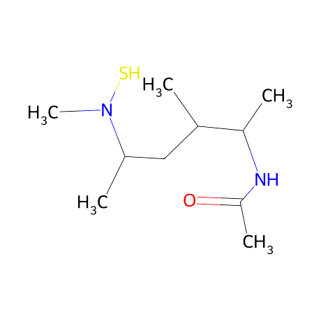 CC(=O)NC(C)C(C)CC(C)N(C)S